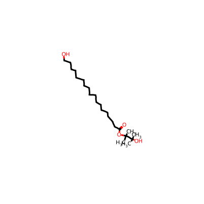 CC(C)(O)C(C)(C)OC(=O)CCCCCCCCCCCCCCCCCO